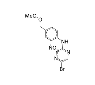 COOCc1ccc(Nc2cnc(Br)cn2)c([N+](=O)[O-])c1